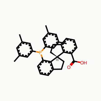 Cc1cc(C)cc(P(c2cc(C)cc(C)c2)c2cccc3c2[C@@]2(CCc4cccc(C(=O)O)c42)CC3)c1